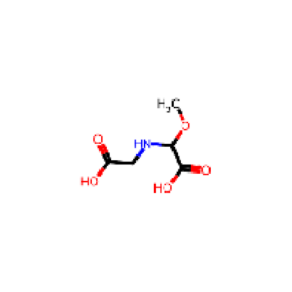 COC(NCC(=O)O)C(=O)O